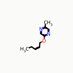 CC/C=C\COc1cnc(C)cn1